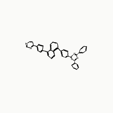 c1ccc(-c2nc(-c3ccccc3)nc(-c3ccc(-c4cccc5c(-c6ccc(-c7ccncn7)cc6)cccc45)cc3)n2)cc1